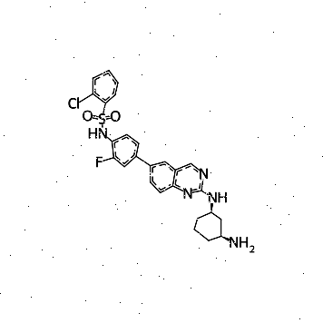 N[C@H]1CCC[C@@H](Nc2ncc3cc(-c4ccc(NS(=O)(=O)c5ccccc5Cl)c(F)c4)ccc3n2)C1